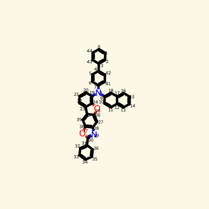 c1ccc(-c2ccc(N(c3ccc4ccccc4c3)c3cccc4c3oc3cc5nc(-c6ccccc6)oc5cc34)cc2)cc1